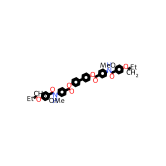 C=C(CC)Oc1ccc(C(=O)Nc2ccc(C(=O)Oc3ccc(-c4ccc(OC(=O)c5ccc(NC(=O)c6ccc(OC(=C)CC)cc6OC)cc5)cc4)cc3)cc2)c(OC)c1